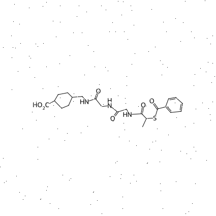 CC(SC(=O)c1ccccc1)C(=O)NCC(=O)NCC(=O)NCC1CCC(C(=O)O)CC1